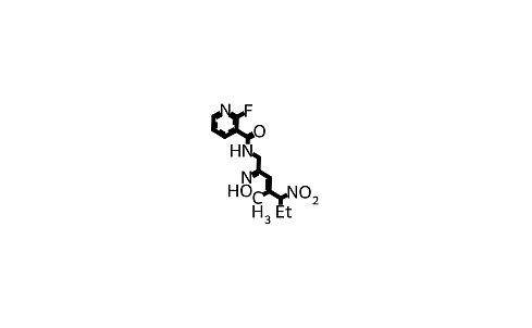 CCC(C(C)=CC(CNC(=O)c1cccnc1F)=NO)[N+](=O)[O-]